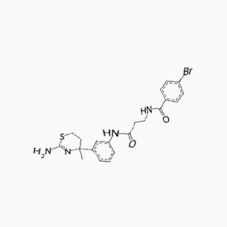 CC1(c2cccc(NC(=O)CCNC(=O)c3ccc(Br)cc3)c2)CCSC(N)=N1